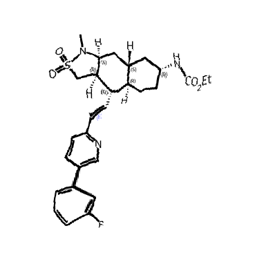 CCOC(=O)N[C@@H]1CC[C@@H]2[C@@H](C1)C[C@H]1[C@H](CS(=O)(=O)N1C)[C@H]2/C=C/c1ccc(-c2cccc(F)c2)cn1